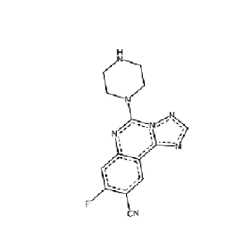 N#Cc1cc2c(cc1F)nc(N1CCNCC1)n1ncnc21